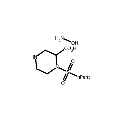 CCCCCS(=O)(=O)N1CCNCC1C(=O)O.NO